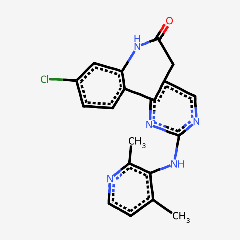 Cc1ccnc(C)c1Nc1ncc2c(n1)-c1ccc(Cl)cc1NC(=O)C2